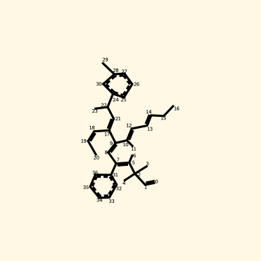 C=CC(C)(C)/C(C)=C(/C=C(C(\C)=C\C=C\CC)/C(/C=C\C)=C/C(C)c1cccc(C)c1)c1ccccc1